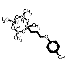 Cc1ccc(OCCC[Si]2(C)O[SiH](C)O[SiH](C)O[SiH](C)O2)cc1